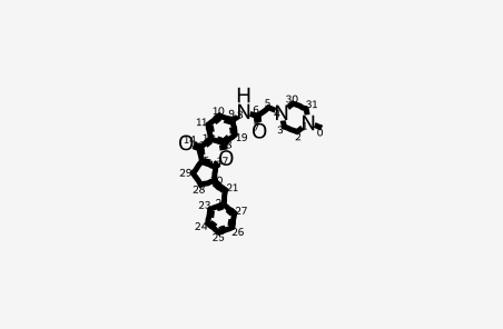 CN1CCN(CC(=O)Nc2ccc3c(=O)c4c(oc3c2)C(=Cc2ccccc2)CC4)CC1